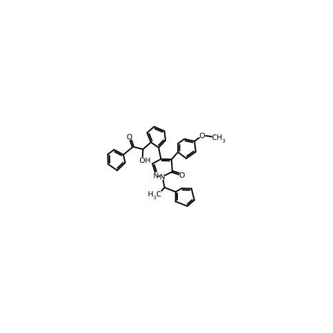 COc1ccc(-c2c(-c3ccccc3C(O)C(=O)c3ccccc3)cnn(C(C)c3ccccc3)c2=O)cc1